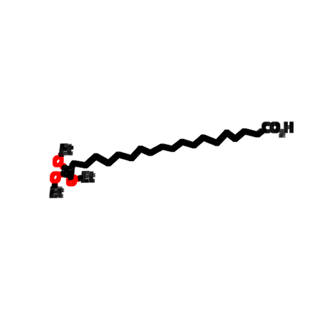 CCO[Si](CCCCCCCCCCCCCCCCCCC(=O)O)(OCC)OCC